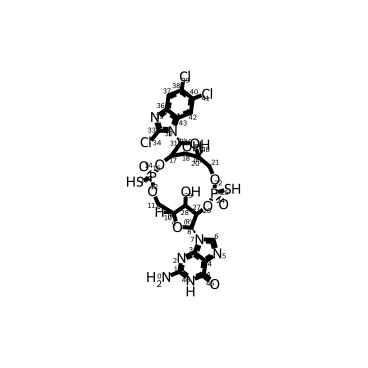 Nc1nc2c(ncn2[C@@H]2O[C@@H]3COP(=O)(S)OC4C(O)[C@@H](COP(=O)(S)OC2C3O)O[C@H]4n2c(Cl)nc3cc(Cl)c(Cl)cc32)c(=O)[nH]1